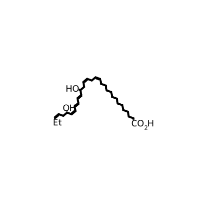 CC/C=C\C[C@H](O)\C=C/C=C/C=C/C(O)C/C=C\C/C=C\CCCCCCCCCCCCC(=O)O